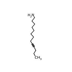 CCCC#CCCCCCCCCN